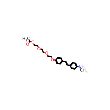 CNc1ccc(C=Cc2ccc(OCCOCCOCCOC(C)=O)cc2)cc1